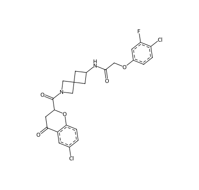 O=C(COc1ccc(Cl)c(F)c1)NC1CC2(C1)CN(C(=O)C1CC(=O)c3cc(Cl)ccc3O1)C2